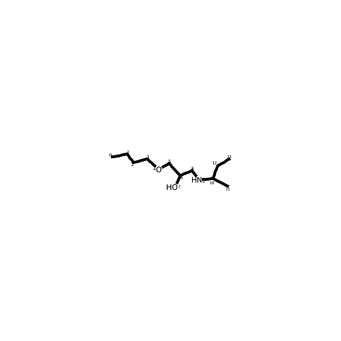 CCCCOCC(O)CNC(C)CC